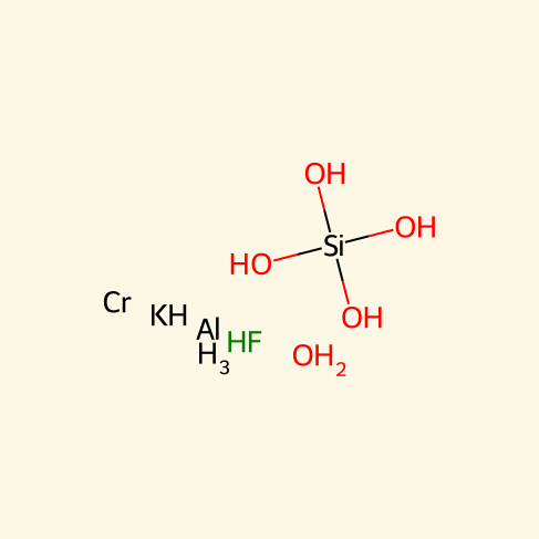 F.O.O[Si](O)(O)O.[AlH3].[Cr].[KH]